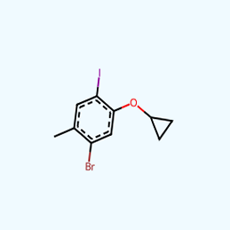 Cc1cc(I)c(OC2CC2)cc1Br